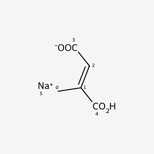 CC(=CC(=O)[O-])C(=O)O.[Na+]